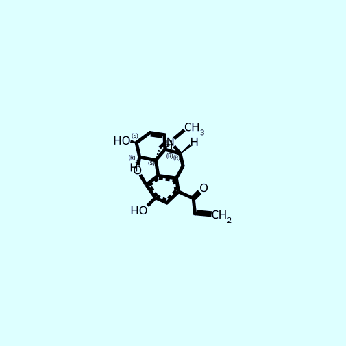 C=CC(=O)c1cc(O)c2c3c1C[C@@H]1[C@@H]4C=C[C@H](O)[C@H](O2)[C@]34CCN1C